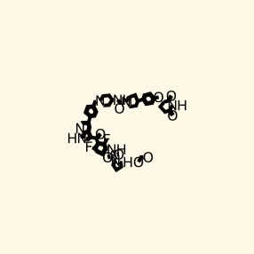 O=C1CCC(Oc2ccc(C3CCN(C(=O)NC4CCN(Cc5ccc(-c6cnc7[nH]cc(C(=O)c8c(F)ccc(NS(=O)(=O)N9CCCC9)c8F)c7c6)cc5)CC4)CC3)cc2)C(=O)N1.O=CO